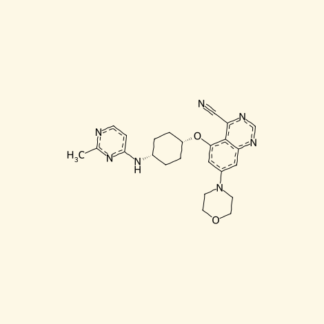 Cc1nccc(N[C@H]2CC[C@@H](Oc3cc(N4CCOCC4)cc4ncnc(C#N)c34)CC2)n1